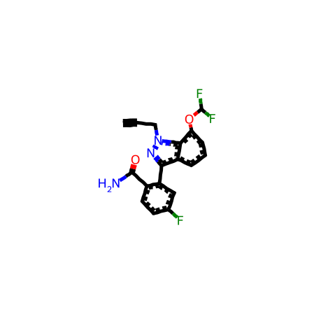 C#CCn1nc(-c2cc(F)ccc2C(N)=O)c2cccc(OC(F)F)c21